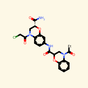 CCC(=O)N1CC(C(=O)Nc2ccc3c(c2)O[C@@H](C(N)=O)CN3C(=O)CCl)Oc2ccccc21